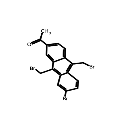 CC(=O)c1ccc2c(CBr)c3ccc(Br)cc3c(CBr)c2c1